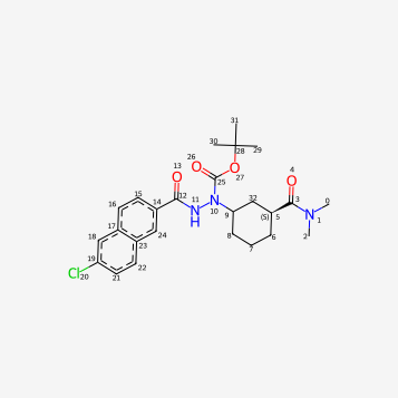 CN(C)C(=O)[C@H]1CCCC(N(NC(=O)c2ccc3cc(Cl)ccc3c2)C(=O)OC(C)(C)C)C1